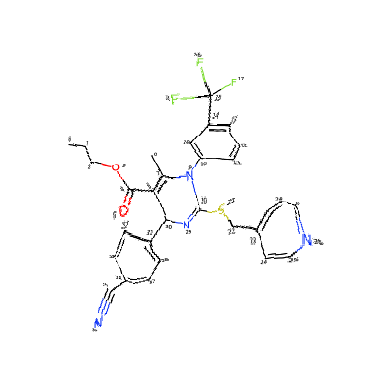 CCCOC(=O)C1=C(C)N(c2cccc(C(F)(F)F)c2)C(SCc2ccncc2)=NC1c1ccc(C#N)cc1